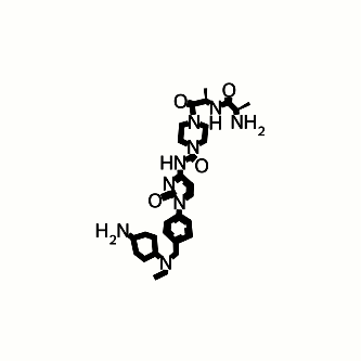 CCN(Cc1ccc(-n2ccc(NC(=O)N3CCN(C(=O)[C@@H](C)NC(=O)[C@@H](C)N)CC3)nc2=O)cc1)C1CCC(N)CC1